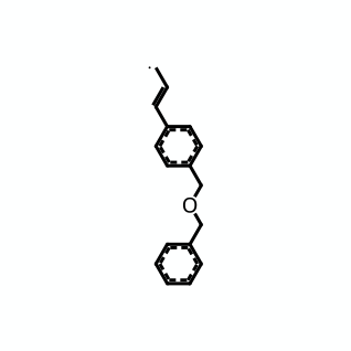 [CH2]/C=C/c1ccc(COCc2ccccc2)cc1